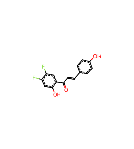 O=C(/C=C/c1ccc(O)cc1)c1cc(F)c(F)cc1O